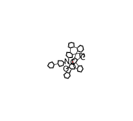 c1ccc(-c2ccc(N(c3ccc4c(c3)C3(c5ccccc5-c5ccccc5-4)c4ccccc4-c4c3ccc3c4-c4ccccc4C3)c3cccc4c3oc3ccccc34)cc2)cc1